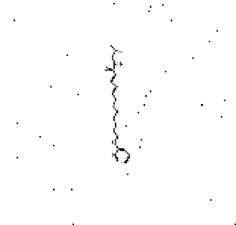 CC(C)CNC(=O)C=CC=CCCCCCCCOc1ccccn1